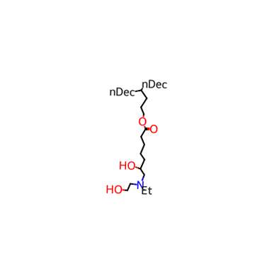 CCCCCCCCCCC(CCCCCCCCCC)CCCOC(=O)CCCCC(O)CN(CC)CCO